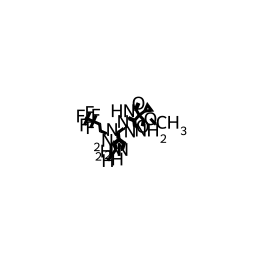 [2H]C([2H])([2H])n1ncc2c(-c3nc(N)c4c(n3)NC(=O)C4(C(=O)OCC)C3CC3)nc(CCC(F)(F)C(F)(F)F)nc21